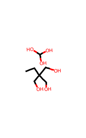 CCC(CO)(CO)CO.OC(O)O